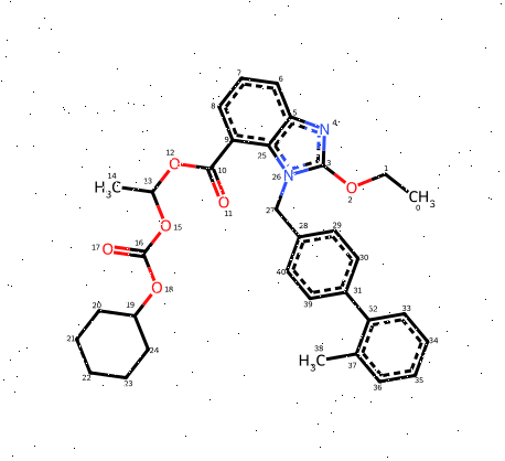 CCOc1nc2cccc(C(=O)OC(C)OC(=O)OC3CCCCC3)c2n1Cc1ccc(-c2ccccc2C)cc1